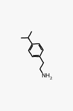 C[C](C)c1ccc(CCN)cc1